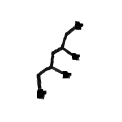 BrCC(Br)CC(Br)CBr